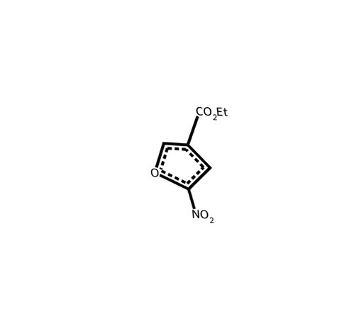 CCOC(=O)c1coc([N+](=O)[O-])c1